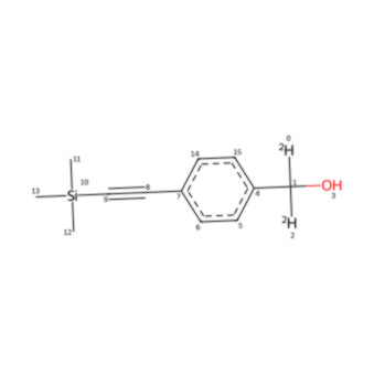 [2H]C([2H])(O)c1ccc(C#C[Si](C)(C)C)cc1